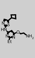 CCc1nc(Nc2ncc(C3CCC3)s2)cc(OCCN)n1